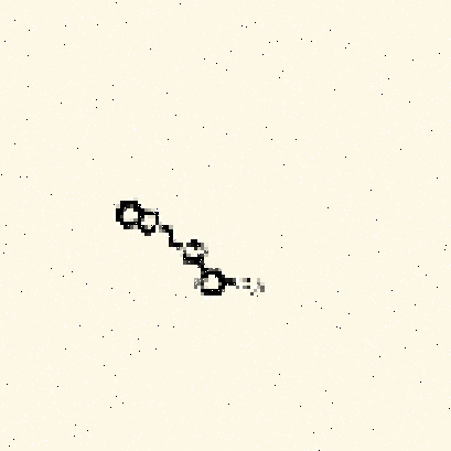 O=C(O)c1ccnc(-c2cn(CCN3Cc4ccccc4C3)cn2)c1